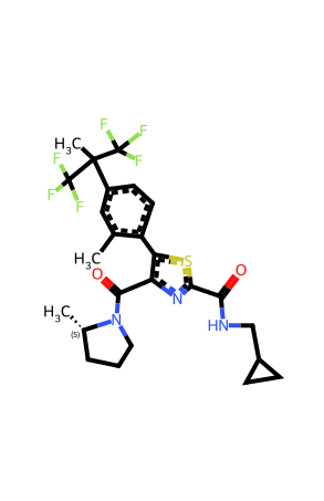 Cc1cc(C(C)(C(F)(F)F)C(F)(F)F)ccc1-c1sc(C(=O)NCC2CC2)nc1C(=O)N1CCC[C@@H]1C